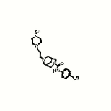 CC(=O)N1CCN(CCCN2CC3CC(C2)CN(C(=O)Nc2ccc(C#N)cc2)C3)CC1